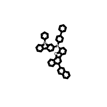 c1ccc(-c2ccc(N(c3ccc4c5ccccc5n(-c5ccccc5)c4c3)c3cccc4c3oc3c5ccccc5c(-c5ccc6ccccc6c5)cc43)cc2)cc1